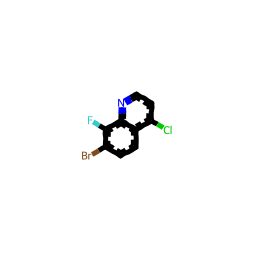 Fc1c(Br)ccc2c(Cl)ccnc12